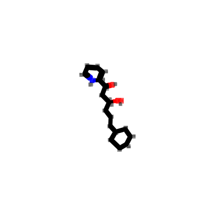 O=C(C[C@@H](O)CCCC1CCCCC1)c1ccccn1